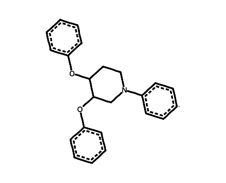 [c]1ccc(N2CCC(Oc3ccccc3)C(Oc3ccccc3)C2)cc1